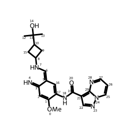 COC1=CC(=N)/C(=C\NC2CC(C(C)(C)O)C2)C=C1NC(=O)c1cnn2cccnc12